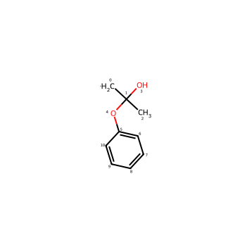 [CH2]C(C)(O)Oc1ccccc1